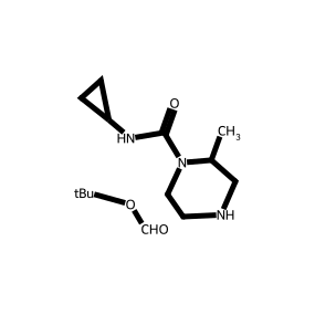 CC(C)(C)OC=O.CC1CNCCN1C(=O)NC1CC1